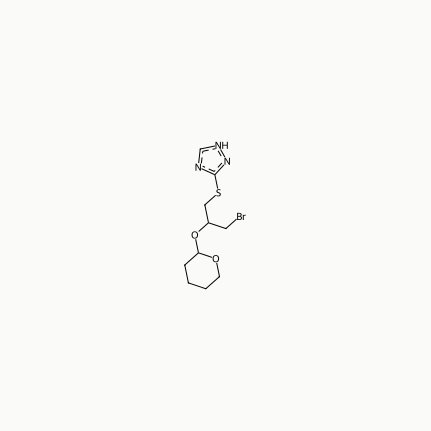 BrCC(CSc1nc[nH]n1)OC1CCCCO1